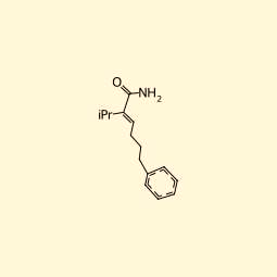 CC(C)/C(=C\CCCc1ccccc1)C(N)=O